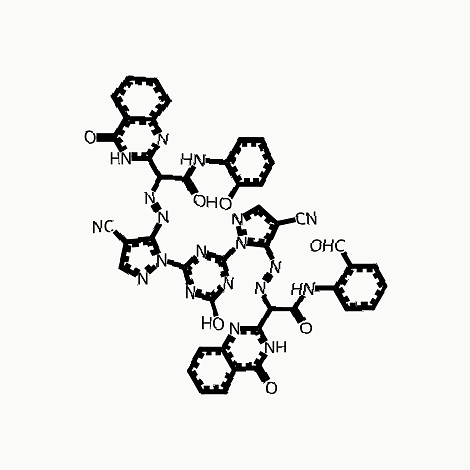 N#Cc1cnn(-c2nc(O)nc(-n3ncc(C#N)c3N=NC(C(=O)Nc3ccccc3C=O)c3nc4ccccc4c(=O)[nH]3)n2)c1N=NC(C(=O)Nc1ccccc1O)c1nc2ccccc2c(=O)[nH]1